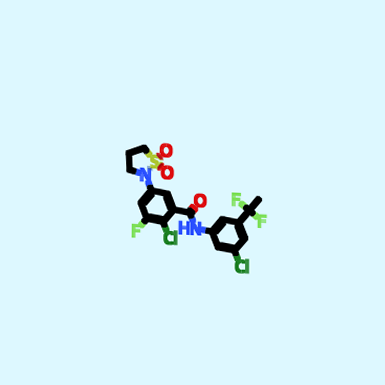 CC(F)(F)c1cc(Cl)cc(NC(=O)c2cc(N3CCCS3(=O)=O)cc(F)c2Cl)c1